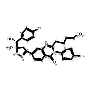 C[C@]1([C@H](O)c2ccc(F)cc2)CC(c2ccc3c(=O)n(-c4ccc(F)cc4)c(CCCCC(=O)O)nc3c2)=NO1